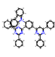 c1ccc(-c2cc(-c3ccc(-n4c5ccccc5c5ccccc54)c(-c4nc(-c5ccccc5)nc(-c5ccccc5)n4)c3)nc(-c3ccccc3)n2)cc1